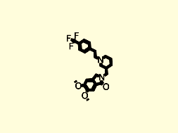 COc1cc2c(cc1OC)C(=O)N(CC1CCCN(CCc3ccc(C(F)(F)F)cc3)C1)C2